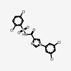 O=C(NS(=O)(=O)c1cc(Cl)ccc1Cl)c1cn(-c2cc(Cl)cc(Cl)c2)cn1